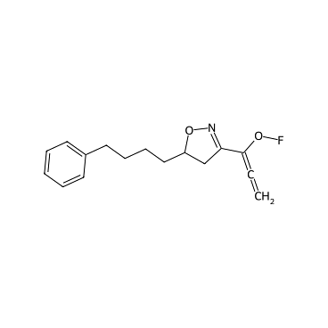 C=C=C(OF)C1=NOC(CCCCc2ccccc2)C1